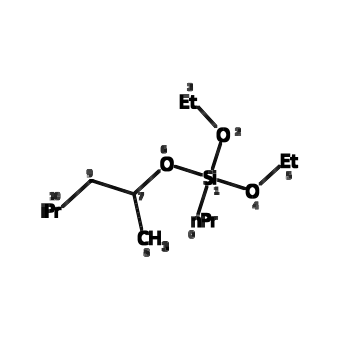 CCC[Si](OCC)(OCC)OC(C)CC(C)C